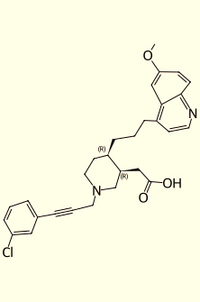 COc1ccc2nccc(CCC[C@@H]3CCN(CC#Cc4cccc(Cl)c4)C[C@@H]3CC(=O)O)c2c1